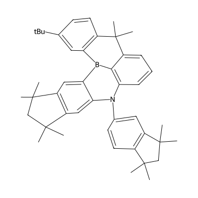 CC(C)(C)c1ccc2c(c1)B1c3cc4c(cc3N(c3ccc5c(c3)C(C)(C)CC5(C)C)c3cccc(c31)C2(C)C)C(C)(C)CC4(C)C